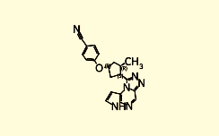 C[C@@H]1C[C@@H](Oc2ccc(C#N)cc2)C[C@@H]1c1nnc2cnc3[nH]ccc3n12